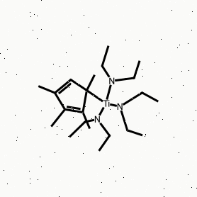 CC[N](CC)[Ti]([N](CC)CC)([N](CC)CC)[C]1(C)C=C(C)C(C)=C1C